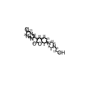 O=c1oc2cc(N3CCN(CCO)CC3)ccc2cc1-c1cn2cc(Cl)cnc2n1